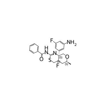 C[C@H]1C[C@@]2(F)CSC(NC(=O)c3ccccc3)=N[C@@]2(c2cc(N)cc(F)c2)CO1